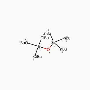 CCCC[Si](CCCC)(CCCC)[O][Ti]([O]CC(C)C)([O]CC(C)C)[O]CC(C)C